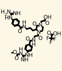 COC(=O)NC(=N)Nc1ccc(C(=O)NCC(=O)N2CCN(CC(=O)O)C(=O)C2CCCNC(=O)c2ccc(NC(=N)N)cc2)cc1.O=C(O)C(F)(F)F